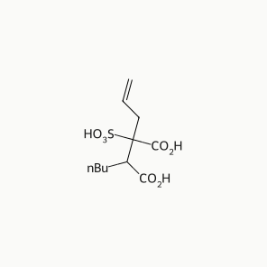 C=CCC(C(=O)O)(C(CCCC)C(=O)O)S(=O)(=O)O